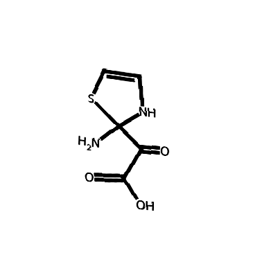 NC1(C(=O)C(=O)O)NC=CS1